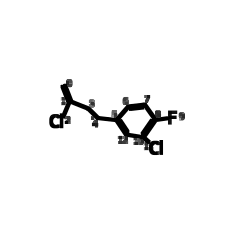 C=C(Cl)C[CH]c1ccc(F)c(Cl)c1